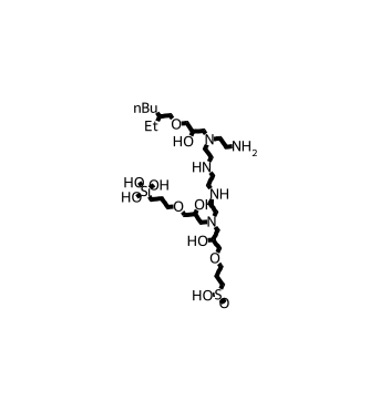 CCCCC(CC)COCC(O)CN(CCN)CCNCCNCCN(CC(O)COCCCS(=O)O)CC(O)COCCC[Si](O)(O)O